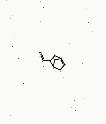 O=CC1CC2=CCC1C2